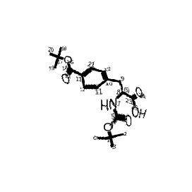 CC(C)(C)OC(=O)N[C@@H](Cc1ccc(C(=O)OC(C)(C)C)cc1)C(=O)O